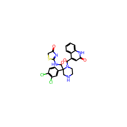 O=C1CSC(NC(=O)C2(c3ccc(Cl)c(Cl)c3)CNCCN2C(=O)c2cc(=O)[nH]c3ccccc23)=N1